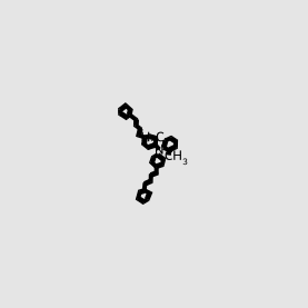 Cc1cccc(C)c1N(c1ccc(C=CC=Cc2ccccc2)cc1)c1ccc(C=CC=Cc2ccccc2)cc1